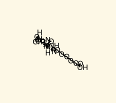 CCS(=O)(=O)Nc1ccc(-c2n[nH]c(Nc3ccnc(OCCOCCOCCOCCOCC(=O)O)c3)c2C(N)=O)cc1